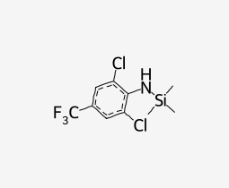 C[Si](C)(C)Nc1c(Cl)cc(C(F)(F)F)cc1Cl